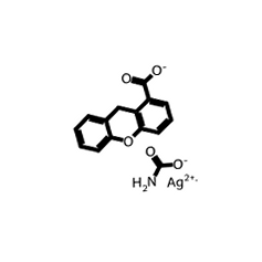 NC(=O)[O-].O=C([O-])c1cccc2c1Cc1ccccc1O2.[Ag+2]